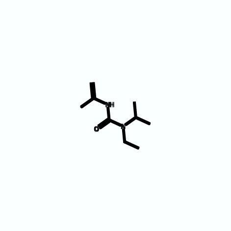 C=C(C)NC(=O)N(CC)C(C)C